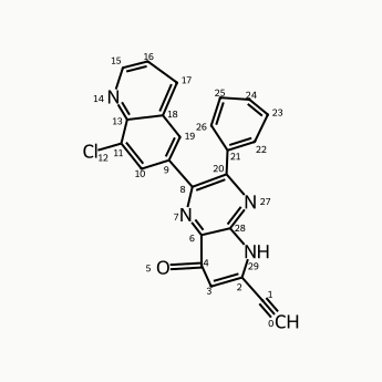 C#Cc1cc(=O)c2nc(-c3cc(Cl)c4ncccc4c3)c(-c3ccccc3)nc2[nH]1